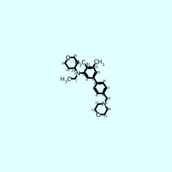 CCN(c1cc(-c2ccc(CN3CCOCC3)cc2)cc(C)c1C)C1CCOCC1